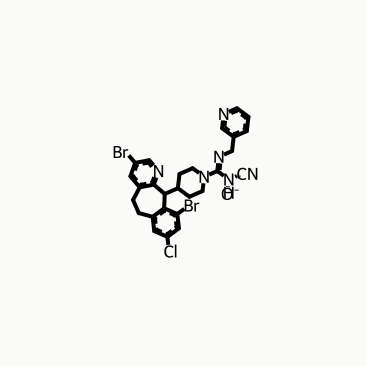 N#C[NH+]([O-])/C(=N\Cc1cccnc1)N1CCC(C2c3ncc(Br)cc3CCc3cc(Cl)cc(Br)c32)CC1